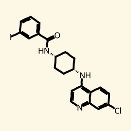 O=C(N[C@H]1CC[C@@H](Nc2ccnc3cc(Cl)ccc23)CC1)c1cccc(I)c1